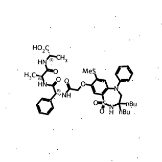 CCCCC1(CCCC)CN(c2ccccc2)c2cc(SC)c(OCC(=O)N[C@@H](C(=O)N[C@@H](C)C(=O)N[C@@H](C)C(=O)O)c3ccccc3)cc2S(=O)(=O)N1